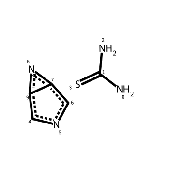 NC(N)=S.c1ncc2nc1-2